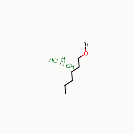 CCCCCC[O][Ti].Cl.Cl.Cl